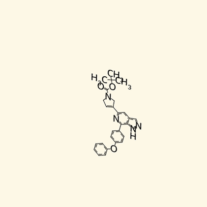 CC(C)(C)OC(=O)N1CC=C(c2cc3cn[nH]c3c(-c3ccc(Oc4ccccc4)cc3)n2)C1